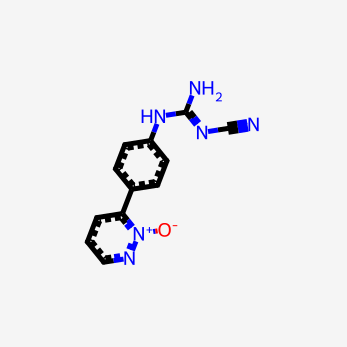 N#CN=C(N)Nc1ccc(-c2cccn[n+]2[O-])cc1